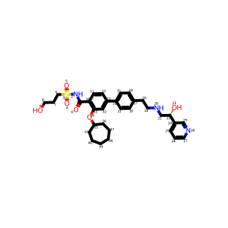 O=C(NS(=O)(=O)CCCO)c1ccc(-c2ccc(CCNC[C@H](O)c3cccnc3)cc2)cc1OC1CCCCCC1